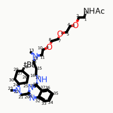 CC(=O)NCCOCCOCCOCCN(C)CCCNc1nc(CN(C)C2CCC(C(C)(C)C)CC2)nc2ccccc12